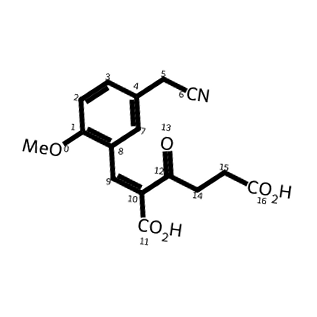 COc1ccc(CC#N)cc1/C=C(/C(=O)O)C(=O)CCC(=O)O